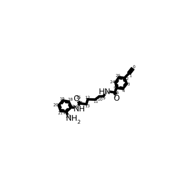 C#Cc1ccc(C(=O)NCCCCCC(=O)Nc2ccccc2N)cc1